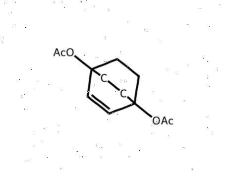 CC(=O)OC12C=CC(OC(C)=O)(CC1)CC2